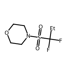 CCC(F)(F)S(=O)(=O)N1CCOCC1